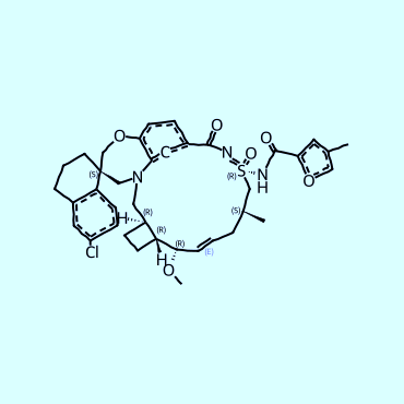 CO[C@H]1/C=C/C[C@H](C)C[S@@](=O)(NC(=O)c2cc(C)co2)=NC(=O)c2ccc3c(c2)N(C[C@@H]2CC[C@H]21)C[C@@]1(CCCc2cc(Cl)ccc21)CO3